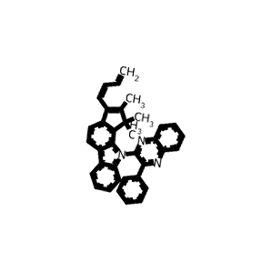 C=C/C=C\C1=C(C)C(C)(C)c2c1ccc1c3ccccc3n(-c3nc4ccccc4nc3-c3ccccc3)c21